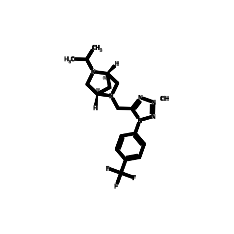 CC(C)N1C[C@@H]2C[C@H]1CN2Cc1nnnn1-c1ccc(C(F)(F)F)cc1.Cl